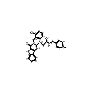 Cc1ccc(CNC(=O)CSc2nc3c(sc4ccccc43)c(=O)n2Cc2ccccc2Cl)cc1